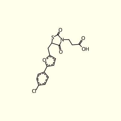 O=C(O)CCN1C(=O)SC(Cc2ccc(-c3ccc(Cl)cc3)o2)C1=O